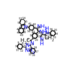 C=C(/N=C(\N=C(/N)c1ccccc1)c1ccccc1)c1ccc(/C(NC(C=N)C(=C)Nc2ccccc2)=C(/N)c2ccc(-n3c4c(c5ccccc53)C=CCC4)cc2)cc1